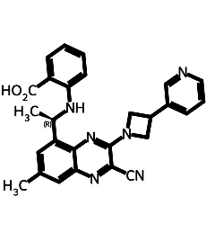 Cc1cc([C@@H](C)Nc2ccccc2C(=O)O)c2nc(N3CC(c4cccnc4)C3)c(C#N)nc2c1